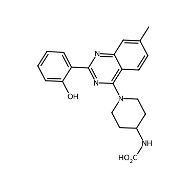 Cc1ccc2c(N3CCC(NC(=O)O)CC3)nc(-c3ccccc3O)nc2c1